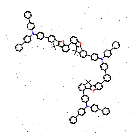 CC1(C)c2cccc(-c3ccc(N(c4ccc(-c5ccccc5)cc4)c4ccc(-c5ccccc5)cc4)cc3)c2-c2oc3ccc(-c4cccc(-c5ccc(N(C6=CC=C(C7=CC=CCC7)CC6)c6ccc(-c7ccc8c(c7)-c7oc9cccc(-c%10cccc%11c%12c(oc%10%11)-c%10ccc(-c%11ccc(N(C%13=CC=C(c%14ccccc%14)CC%13)c%13ccc(-c%14ccccc%14)cc%13)cc%11)cc%10C%12(C)C)c9c7C8(C)C)cc6)cc5)c4)cc3c21